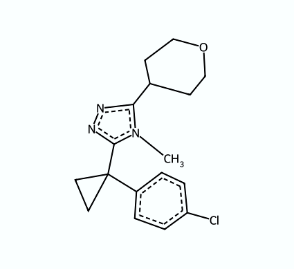 Cn1c(C2CCOCC2)nnc1C1(c2ccc(Cl)cc2)CC1